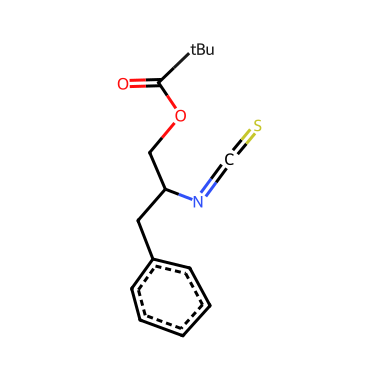 CC(C)(C)C(=O)OCC(Cc1ccccc1)N=C=S